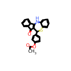 CC(=O)Oc1ccc(C2Sc3ccccc3NC3=C2C(=O)c2ccccc23)cc1